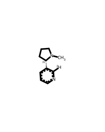 [2H]c1ncccc1[C@@H]1CCCN1C